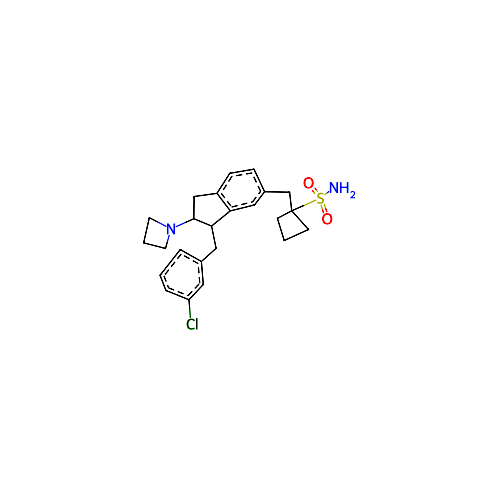 NS(=O)(=O)C1(Cc2ccc3c(c2)C(Cc2cccc(Cl)c2)C(N2CCC2)C3)CCC1